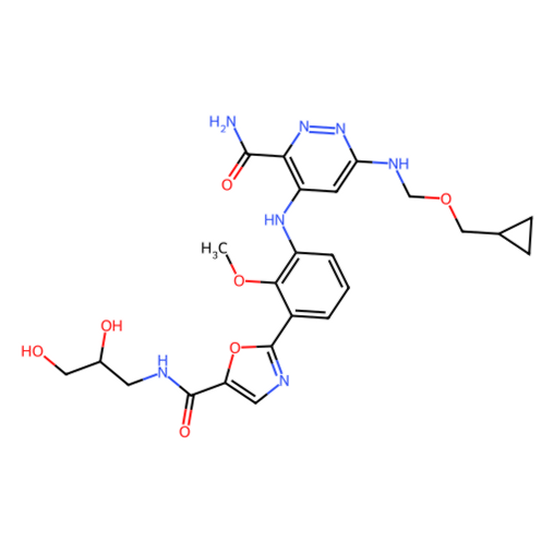 COc1c(Nc2cc(NCOCC3CC3)nnc2C(N)=O)cccc1-c1ncc(C(=O)NCC(O)CO)o1